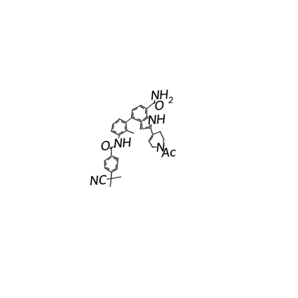 CC(=O)N1CC=C(c2cc3c(-c4cccc(NC(=O)c5ccc(C(C)(C)C#N)cc5)c4C)ccc(C(N)=O)c3[nH]2)CC1